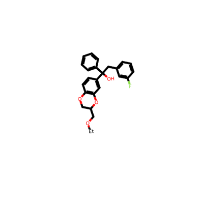 CCOCC1COc2ccc(C(O)(Cc3cccc(F)c3)c3ccccc3)cc2O1